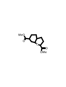 COC(=O)C1CCC2CCC(C(=O)OC)CC2C1